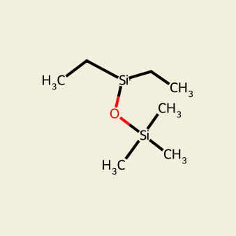 CC[Si](CC)O[Si](C)(C)C